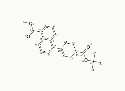 COC(=O)c1cccc2c(C3=CCN(C(=O)OC(C)(C)C)CC3)cccc12